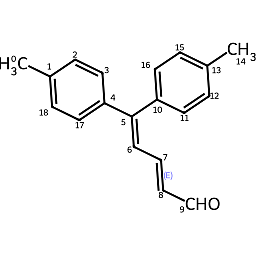 Cc1ccc(C(=C/C=C/C=O)c2ccc(C)cc2)cc1